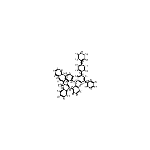 O=P1(c2ccc3ccccc3c2)C2=C(c3ccccc3N(c3cc(-c4ccccc4)cc(-c4ccc(C5=CCCC=C5)cc4)c3)c3ccccc32)c2ccccc21